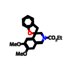 CCOC(=O)N1C=C2CC(OC)=C(OC)C=C2C2(Cc3ccccc3O2)C1